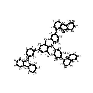 Cc1cc(-c2cccc(-n3c4ccccc4c4ccccc43)c2)cc(C)c1N(c1ccc(-c2cccc3ccccc23)cc1)c1ccc(-c2cccc3c2sc2ccccc23)cc1